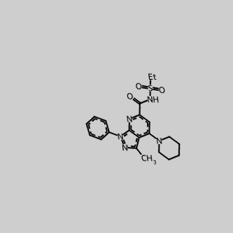 CCS(=O)(=O)NC(=O)c1cc(N2CCCCC2)c2c(C)nn(-c3ccccc3)c2n1